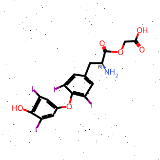 N[C@@H](Cc1cc(I)c(Oc2cc(I)c(O)c(I)c2)c(I)c1)C(=O)OCC(=O)O